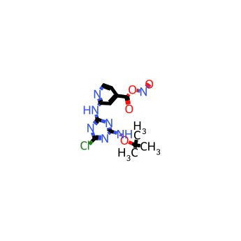 CC(C)(C)ONc1nc(Cl)nc(Nc2cc(C(=O)ON=O)ccn2)n1